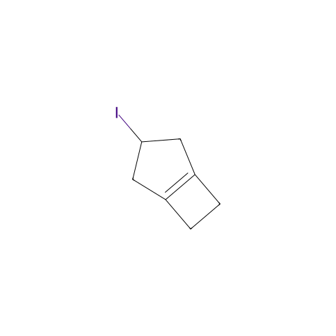 IC1CC2=C(CC2)C1